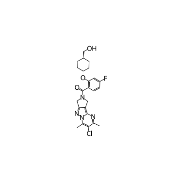 Cc1nc2c3c(nn2c(C)c1Cl)CN(C(=O)c1ccc(F)cc1O[C@H]1CC[C@H](CO)CC1)C3